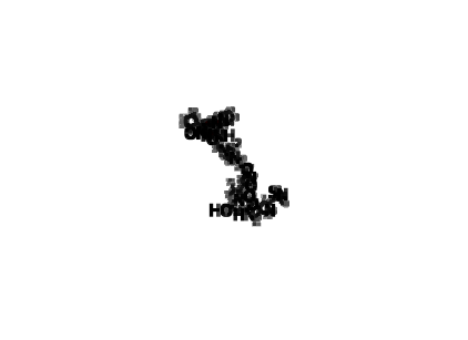 Cc1ncsc1-c1ccc([C@H](C)NC(=O)[C@@H]2C[C@@H](O)CN2C(=O)C(c2cc(OCCN3CCN(CCOc4cc(N5C6CCC5CN(c5cc(-c7ccccc7O)nnc5N)C6)ccn4)CC3)no2)C(C)C)cn1